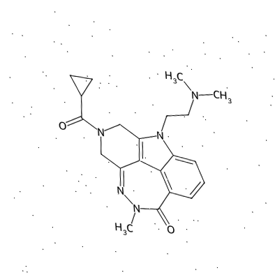 CN(C)CCn1c2c3c4c(cccc41)C(=O)N(C)N=C3CN(C(=O)C1CC1)C2